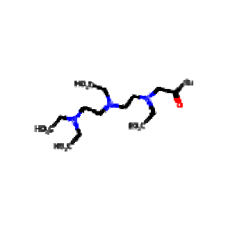 CC(C)(C)C(=O)CN(CCN(CCN(CC(=O)O)CC(=O)O)CC(=O)O)CC(=O)O